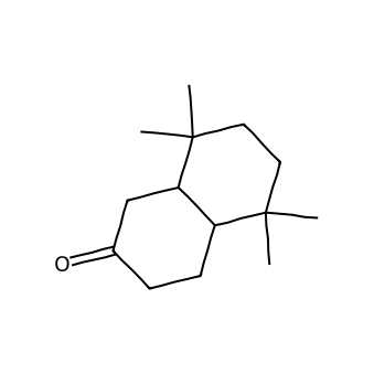 CC1(C)CCC(C)(C)C2CC(=O)CCC21